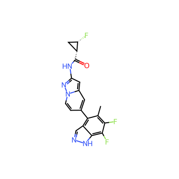 Cc1c(F)c(F)c2[nH]ncc2c1-c1ccn2nc(NC(=O)[C@@H]3C[C@@H]3F)cc2c1